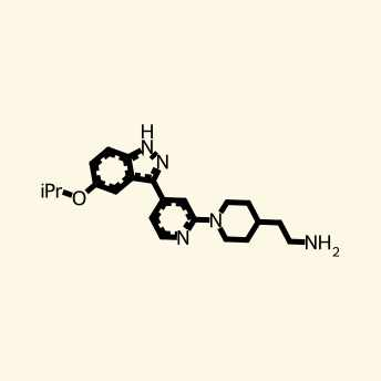 CC(C)Oc1ccc2[nH]nc(-c3ccnc(N4CCC(CCN)CC4)c3)c2c1